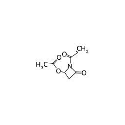 C=CC(=O)N1C(=O)CC1OC(C)=O